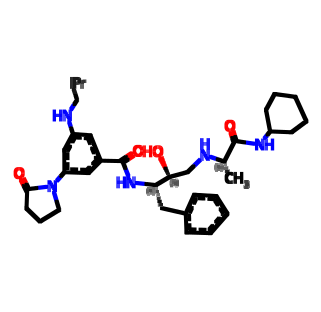 CC(C)CNc1cc(C(=O)N[C@@H](Cc2ccccc2)[C@@H](O)CN[C@@H](C)C(=O)NC2CCCCC2)cc(N2CCCC2=O)c1